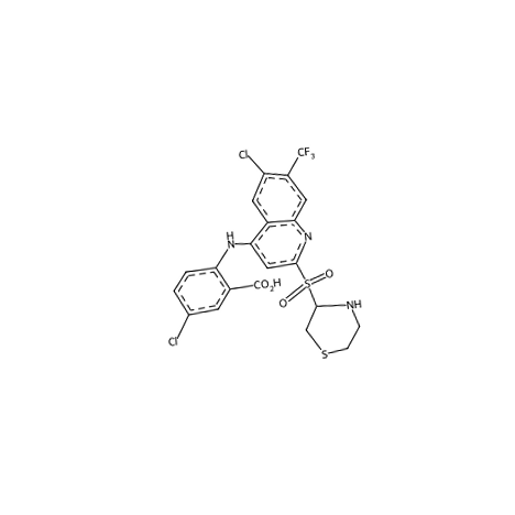 O=C(O)c1cc(Cl)ccc1Nc1cc(S(=O)(=O)C2CSCCN2)nc2cc(C(F)(F)F)c(Cl)cc12